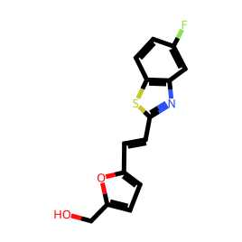 OCc1ccc(/C=C/c2nc3cc(F)ccc3s2)o1